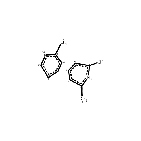 FC(F)(F)c1cccc(Cl)n1.FC(F)(F)c1ccccn1